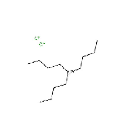 CCC[CH2][Bi+2]([CH2]CCC)[CH2]CCC.[Cl-].[Cl-]